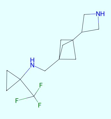 FC(F)(F)C1(NCC23CC(C4CNC4)(C2)C3)CC1